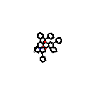 C=C/C(N)=C/c1c(/C=C\c2c(/C=C\c3ccc(-c4ccccc4)c4ccccc34)cc(-c3ccccc3)c3ccccc23)cc(-c2ccccc2)c2ccccc12